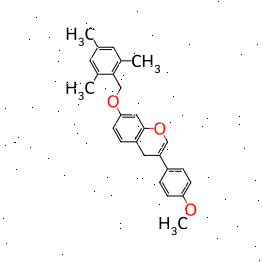 COc1ccc(C2=COc3cc(OCc4c(C)cc(C)cc4C)ccc3C2)cc1